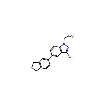 CC(=O)c1nn(CC(=O)O)c2ccc(-c3ccc4c(c3)CCC4)cc12